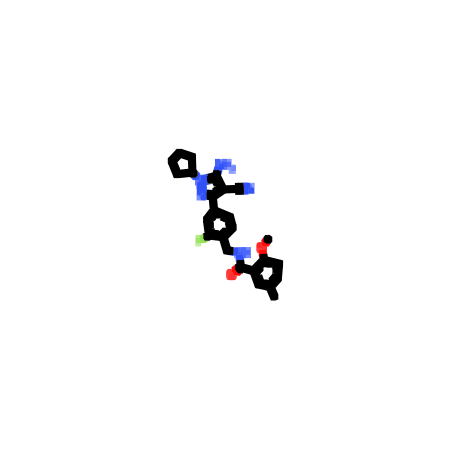 COc1ccc(C)cc1C(=O)NCc1ccc(-c2nn(C3CCCC3)c(N)c2C#N)cc1F